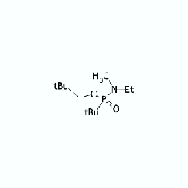 CCN(C)P(=O)(OCC(C)(C)C)C(C)(C)C